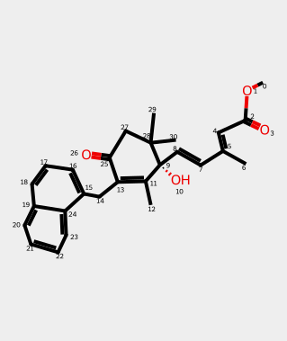 COC(=O)C=C(C)C=C[C@@]1(O)C(C)=C(Cc2cccc3ccccc23)C(=O)CC1(C)C